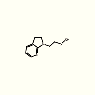 SSCCN1CCc2cccnc21